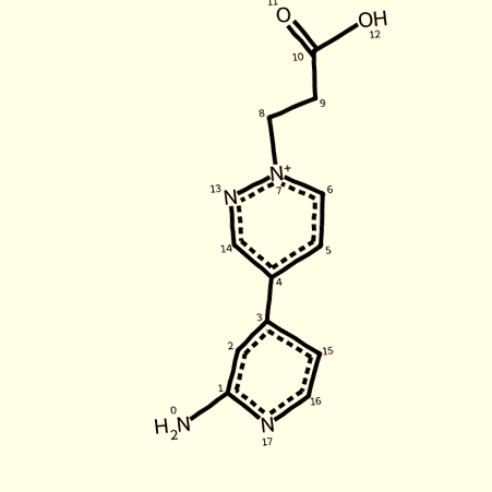 Nc1cc(-c2cc[n+](CCC(=O)O)nc2)ccn1